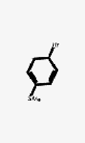 CSC1=C[CH]C(Br)C=C1